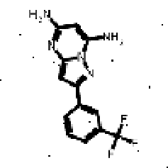 Nc1cc(N)n2nc(-c3cccc(C(F)(F)F)c3)cc2n1